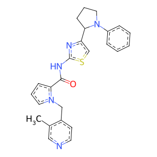 Cc1cnccc1Cn1cccc1C(=O)Nc1nc(C2CCCN2c2ccccc2)cs1